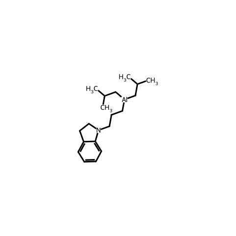 CC(C)[CH2][Al]([CH2]CCN1CCc2ccccc21)[CH2]C(C)C